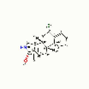 C[C@]12CCCC=C1C(Br)C[C@@H]1[C@H]2CC[C@]2(C)C(=O)NC[C@@H]12